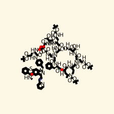 CNC(=O)c1ccccc1Sc1ccc2c(/C=C/c3ccccn3)nn(Cc3ccc(NC(=O)[C@H](CCC(=O)OC(C)(C)C)NC(=O)CCC(=O)N[C@H](C(=O)N[C@@H](CCNC(=O)OC(C)(C)C)C(=O)N[C@H]4CCNC(=O)[C@H]([C@@H](C)O)NC(=O)[C@H](CCNC(=O)OC(C)(C)C)NC(=O)[C@@H]5CCN(C(=O)OC(C)(C)C)C(C)C[C@H](NC(=O)[C@@H](Cc6ccccc6)NC(=O)[C@H](CCNC(=O)OC(C)(C)C)NC4=O)C(=O)N5)[C@@H](C)O)cc3)c2c1